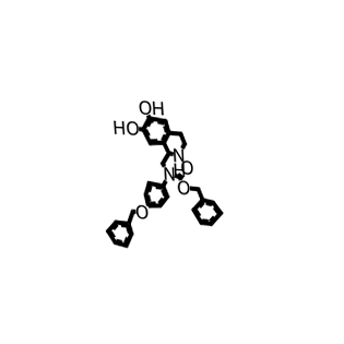 O=C(OCc1ccccc1)N(CC1NCCc2cc(O)c(O)cc21)c1ccc(OCc2ccccc2)cc1